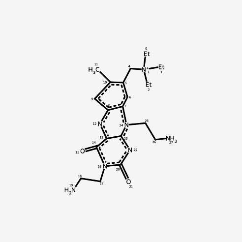 CC[N+](CC)(CC)Cc1cc2c(cc1C)nc1c(=O)n(CCN)c(=O)nc-1n2CCN